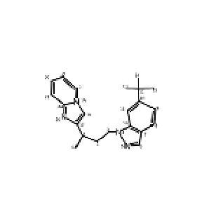 CC(CCn1ncc2ccc(C(C)(C)C)cc21)c1cn2ccccc2n1